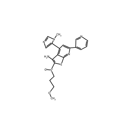 COCCC[S+]([O-])c1sc2nc(-c3cccnc3)cc(-c3cncn3C)c2c1N